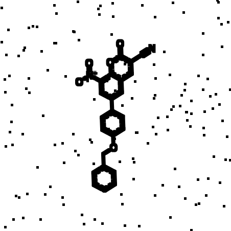 N#Cc1cc2cc(-c3ccc(OCc4ccccc4)cc3)cc([N+](=O)[O-])c2oc1=O